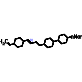 C=CC1CCC(/C=C/CCC2CCC(C3CCC(CCCCCCCCC)CC3)CC2)CC1